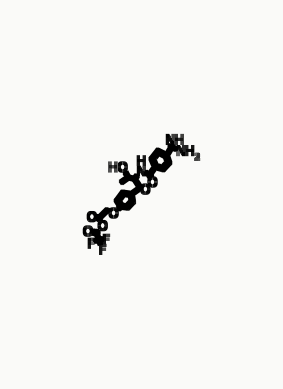 CC(O)C(NC(=O)c1ccc(C(=N)N)cc1)C(=O)c1ccc(OCC(=O)OC(=O)C(F)(F)F)cc1